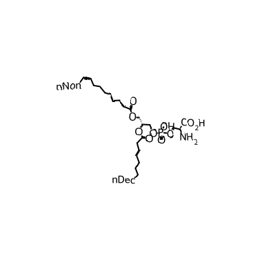 CCCCCCCCC/C=C\CCCCCCCC(=O)OC[C@H](COP(=O)(O)OC[C@H](N)C(=O)O)OC(=O)CCCCCCCCCCCCCCCC